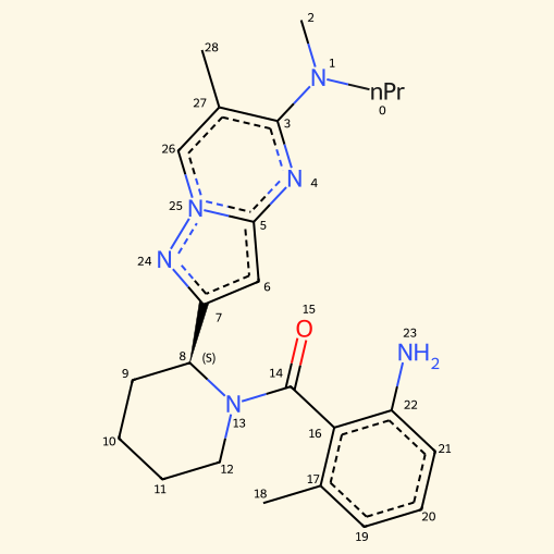 CCCN(C)c1nc2cc([C@@H]3CCCCN3C(=O)c3c(C)cccc3N)nn2cc1C